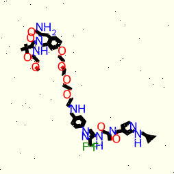 COCC(=O)N[C@H](C(=O)N1Cc2cc(OCCOCCOCCOCCNCc3ccc(-n4cc(NC(=O)c5coc(-c6ccnc(NCC7CC7)c6)n5)c(C(F)F)n4)cc3)ccc2CC1C(N)=O)C(C)(C)C